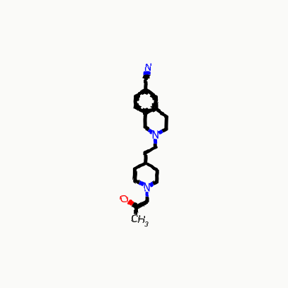 CC(=O)CN1CCC(CCN2CCc3cc(C#N)ccc3C2)CC1